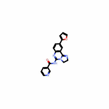 O=C(NC1=Nc2ccc(-c3ccco3)cc2C2=NCCN12)c1cccnc1